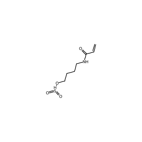 C=CC(=O)NCCCCO[SH](=O)=O